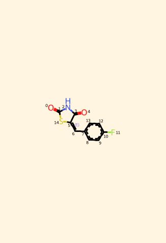 O=C1NC(=O)/C(=C\c2ccc(F)cc2)S1